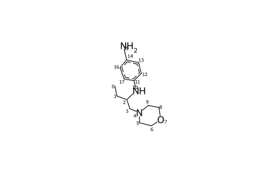 CCC(CN1CCOCC1)Nc1ccc(N)cc1